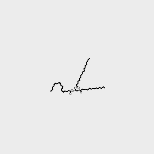 CCCCC/C=C\C/C=C\C/C=C\C/C=C\CCCC(=O)OC[C@@H](COC(=O)CCCCCCCCCCCCCC)OC(=O)CCCCCCCCCCCCCCCCCC